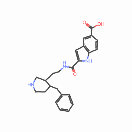 O=C(O)c1ccc2[nH]c(C(=O)NCCC3CNCCC3Cc3ccccc3)cc2c1